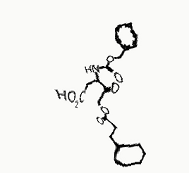 O=C(O)CC(NC(=O)OCc1ccccc1)C(=O)COC(=O)CCC1CCCCC1